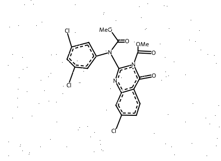 COC(=O)N(c1cc(Cl)cc(Cl)c1)c1nc2cc(Cl)ccc2c(=O)n1C(=O)OC